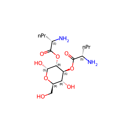 CCC[C@H](N)C(=O)O[C@@H]1[C@@H](OC(=O)[C@@H](N)CCC)[C@H](O)[C@@H](CO)O[C@@H]1O